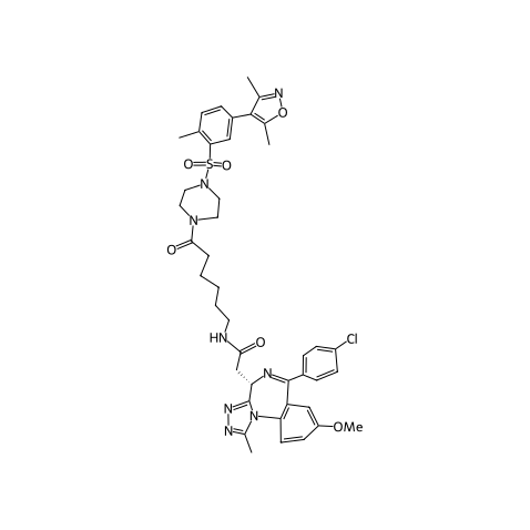 COc1ccc2c(c1)C(c1ccc(Cl)cc1)=N[C@@H](CC(=O)NCCCCCC(=O)N1CCN(S(=O)(=O)c3cc(-c4c(C)noc4C)ccc3C)CC1)c1nnc(C)n1-2